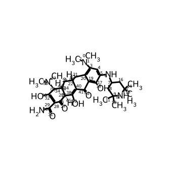 CN(C)c1cc(NC2CC(C)(C)NC(C)(C)C2)c(O)c2c1C[C@H]1C[C@@H]3[C@H](C(=O)C(C(N)=O)=C(O)[C@H]3N(C)C)C(O)=C1C2=O